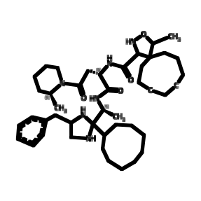 CC1ONC(C(=O)N[C@@H](CC(=O)N2CCCC[C@@H]2C)C(=O)N[C@@H](C)C2(C3CCCCCCCC3)NCC(Cc3ccccc3)N2)C12CCCCCCCC2